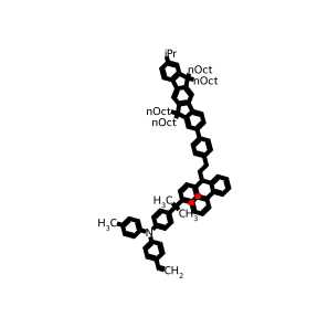 C=Cc1ccc(N(c2ccc(C)cc2)c2ccc(C(C)(C)c3ccc(C(CCc4ccc(-c5ccc6c(c5)C(CCCCCCCC)(CCCCCCCC)c5cc7c(cc5-6)C(CCCCCCCC)(CCCCCCCC)c5cc(C(C)C)ccc5-7)cc4)c4ccccc4-c4ccccc4)cc3)cc2)cc1